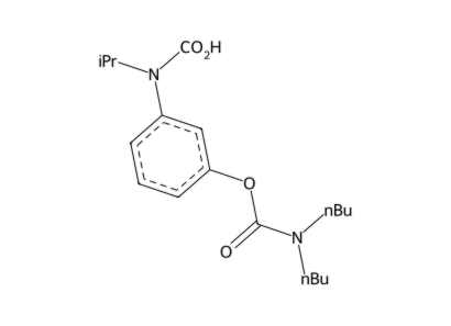 CCCCN(CCCC)C(=O)Oc1cccc(N(C(=O)O)C(C)C)c1